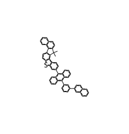 CC1(C)c2ccc3ccccc3c2-c2ccc3sc4cc(-c5c6ccccc6c(-c6cccc(-c7ccc8ccccc8c7)c6)c6ccccc56)ccc4c3c21